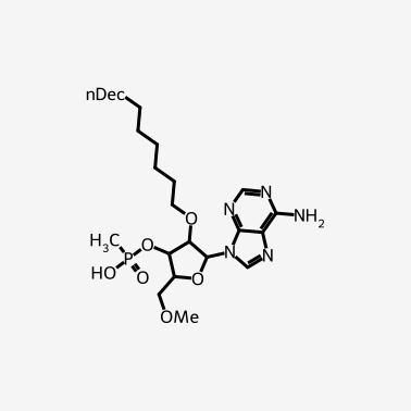 CCCCCCCCCCCCCCCCOC1C(OP(C)(=O)O)C(COC)OC1n1cnc2c(N)ncnc21